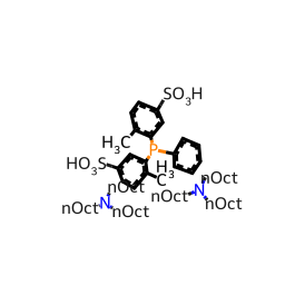 CCCCCCCCN(CCCCCCCC)CCCCCCCC.CCCCCCCCN(CCCCCCCC)CCCCCCCC.Cc1ccc(S(=O)(=O)O)cc1P(c1ccccc1)c1cc(S(=O)(=O)O)ccc1C